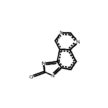 O=C1N=c2ccc3ncncc3c2=N1